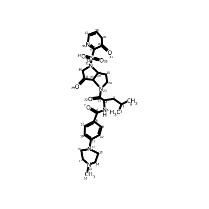 CC(C)CC(NC(=O)c1ccc(N2CCN(C)CC2)cc1)C(=O)N1CCC2C1C(=O)CN2S(=O)(=O)C1=NC=CCC1=O